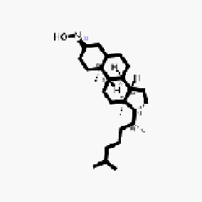 CC(C)CCC[C@@H](C)[C@H]1CC[C@H]2[C@@H]3CCC4C/C(=N/O)CC[C@]4(C)[C@H]3CC[C@]12C